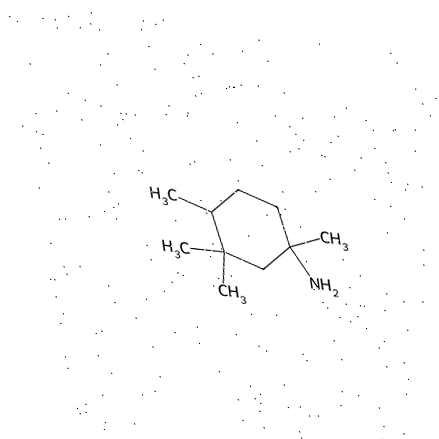 CC1CCC(C)(N)CC1(C)C